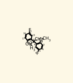 COc1ccc(F)cc1C(C)(C)c1cc(F)ccc1O